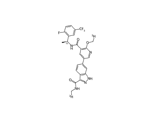 [2H]CNC(=O)c1n[nH]c2cc(-c3cnc(OC[2H])c(C(=O)N[C@@H](C)c4cc(C(F)(F)F)ccc4F)c3)ccc12